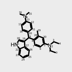 CCN(CC)c1ccc(C(c2ccc(N(C)C)cc2)c2c[nH]c3ccccc23)c(C)c1